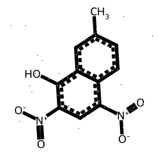 Cc1ccc2c([N+](=O)[O-])cc([N+](=O)[O-])c(O)c2c1